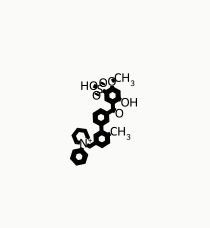 COc1cc(O)c(C(=O)c2cccc(-c3cc(C[N+]4(c5ccccc5)CCCCC4)ccc3C)c2)cc1S(=O)(=O)O